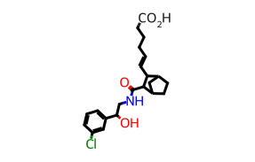 O=C(O)CCCC=CC1C2CCC(C2)C1C(=O)NCC(O)c1cccc(Cl)c1